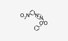 O=C(CN1CCN(c2cccc([N+](=O)[O-])c2)CC1)OCc1ccccc1